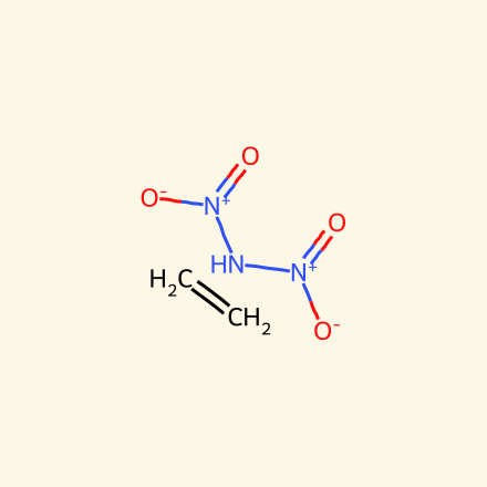 C=C.O=[N+]([O-])N[N+](=O)[O-]